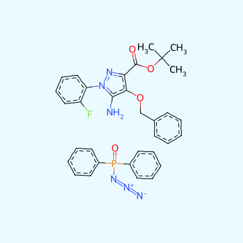 CC(C)(C)OC(=O)c1nn(-c2ccccc2F)c(N)c1OCc1ccccc1.[N-]=[N+]=NP(=O)(c1ccccc1)c1ccccc1